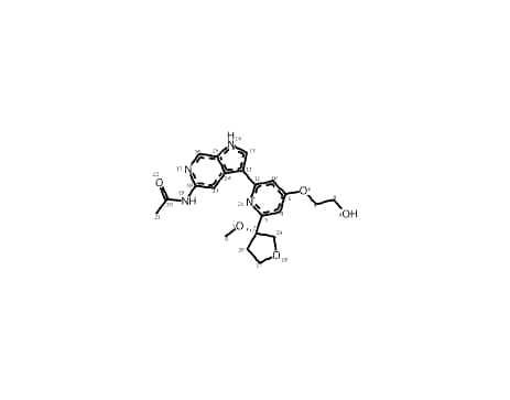 CO[C@@]1(c2cc(OCCO)cc(-c3c[nH]c4cnc(NC(C)=O)cc34)n2)CCOC1